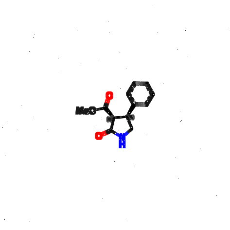 COC(=O)[C@@H]1C(=O)NC[C@@H]1c1ccccc1